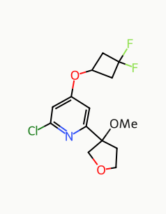 COC1(c2cc(OC3CC(F)(F)C3)cc(Cl)n2)CCOC1